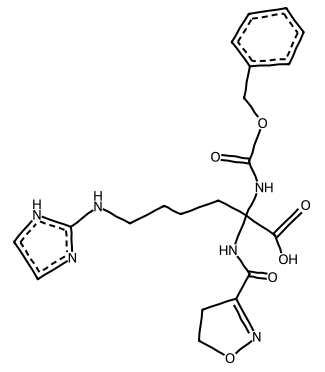 O=C(NC(CCCCNc1ncc[nH]1)(NC(=O)C1=NOCC1)C(=O)O)OCc1ccccc1